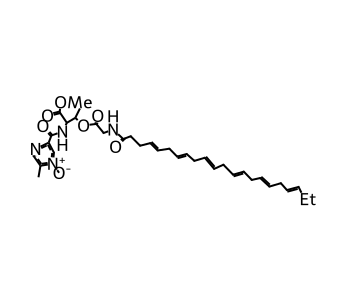 CCC=CCC=CCC=CCC=CCC=CCC=CCCC(=O)NCC(=O)OC(C)C(NC(=O)c1c[n+]([O-])c(C)cn1)C(=O)OC